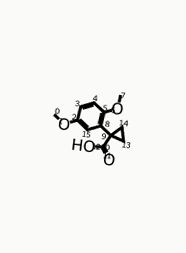 COc1ccc(OC)c(C2(C(=O)O)CC2)c1